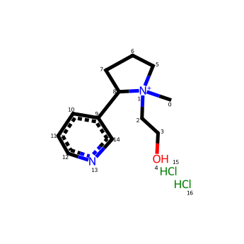 C[N+]1(CCO)CCCC1c1cccnc1.Cl.Cl